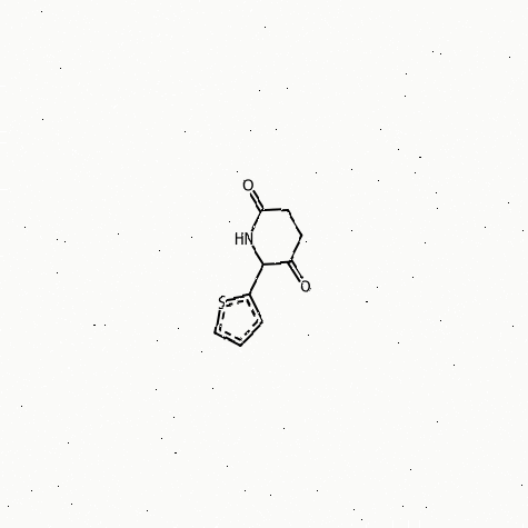 O=C1CCC(=O)C(c2cccs2)N1